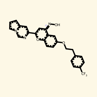 O/N=c1/cc(-c2cc3cccn3cn2)oc2ccc(OCCc3ccc(C(F)(F)F)cc3)cc12